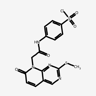 CSc1ncc2ccc(=O)n(CC(=O)Nc3ccc(S(=O)(=O)Cl)cc3)c2n1